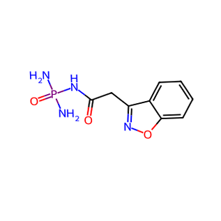 NP(N)(=O)NC(=O)Cc1noc2ccccc12